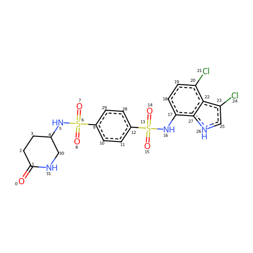 O=C1CCC(NS(=O)(=O)c2ccc(S(=O)(=O)Nc3ccc(Cl)c4c(Cl)c[nH]c34)cc2)CN1